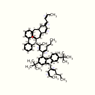 C/C=C\C=C/CC1CCC=C(N(/C(C)=C/C(=C\CCC)c2cc(C(C)(C)C)cc3c2c2ccc(C(C)(C)C)cc2n3C(/C=C\C)=C/CCC)c2ccccc2-c2ccccc2)C=C1/C=C\C